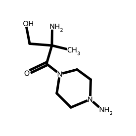 CC(N)(CO)C(=O)N1CCN(N)CC1